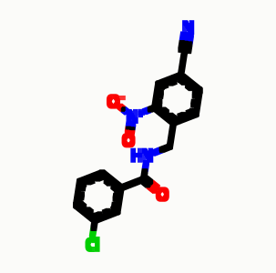 N#Cc1ccc(CNC(=O)c2cccc(Cl)c2)c([N+](=O)[O-])c1